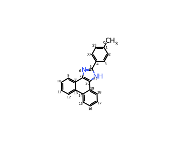 Cc1ccc(-c2nc3c4ccccc4c4ccccc4c3[nH]2)cc1